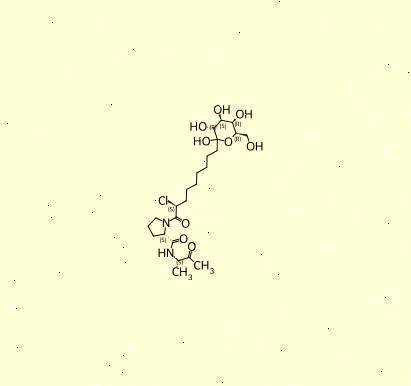 CC(=O)[C@H](C)NC(=O)[C@@H]1CCCN1C(=O)[C@@H](Cl)CCCCCCCC1(O)O[C@H](CO)[C@H](O)[C@H](O)[C@H]1O